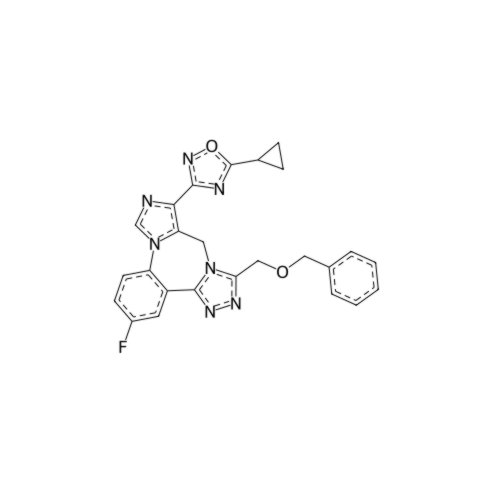 Fc1ccc2c(c1)-c1nnc(COCc3ccccc3)n1Cc1c(-c3noc(C4CC4)n3)ncn1-2